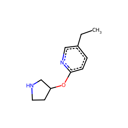 CCc1ccc(OC2CCNC2)nc1